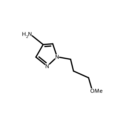 COCCCn1cc(N)cn1